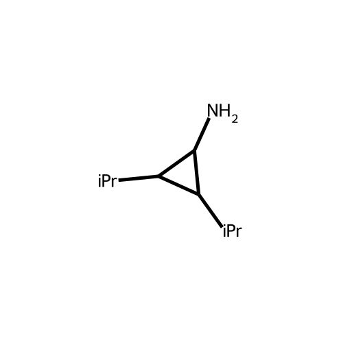 CC(C)C1C(N)C1C(C)C